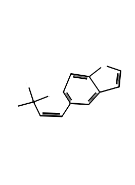 FC(F)(F)/C=C\c1ccc2sccc2c1